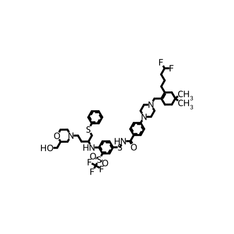 CC1(C)CCC(CN2CCN(c3ccc(C(=O)NSc4ccc(NC(CCN5CCOC(CO)C5)CSc5ccccc5)c(S(=O)(=O)C(F)(F)F)c4)cc3)CC2)=C(CCCC(F)F)C1